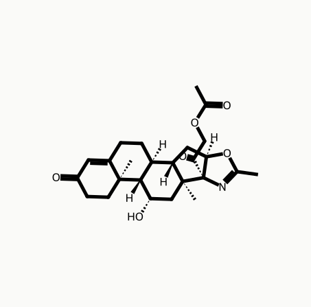 CC(=O)OCC(=O)[C@@]12N=C(C)O[C@@H]1C[C@H]1[C@@H]3CCC4=CC(=O)CC[C@]4(C)[C@H]3[C@@H](O)C[C@@]12C